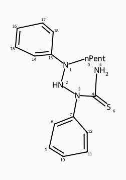 CCCCCN(NN(C(N)=S)c1ccccc1)c1ccccc1